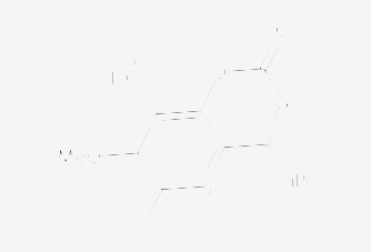 COc1c(C)cc2c(C(C)C)cc(=O)oc2c1O